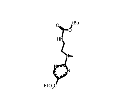 CCOC(=O)c1cnc(N(C)CCNC(=O)OC(C)(C)C)nc1